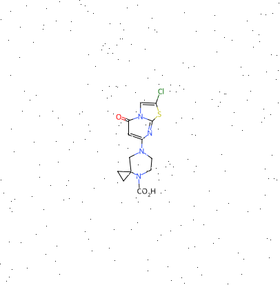 O=C(O)N1CCN(c2cc(=O)n3cc(Cl)sc3n2)CC12CC2